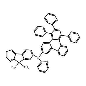 CC1(C)c2ccccc2-c2ccc(N(c3ccc4c(c3)c3ccccc3c3c(-c5ccccc5)cc(-c5ccccc5)c(-c5ccccc5)c43)c3ccccn3)cc21